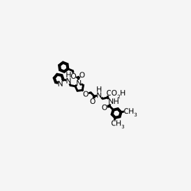 Cc1cc(C)cc(C(=O)NC(CNC(=O)COC2CC(CNc3ccccn3)N(C(=O)OCc3ccccc3)C2)C(=O)O)c1